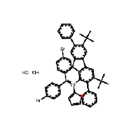 CC(C)(C)c1cc2c(cc1-c1ccccc1)Cc1c-2cc(C(C)(C)C)c(-c2ccccc2)[c]1[Hf]([C]1=CC=CC1)=[C](c1ccc(Br)cc1)c1ccc(Br)cc1.Cl.Cl